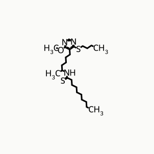 CCCCCCCCCC(=S)NC(C)CCCCc1c(OC)ncnc1SCCCC